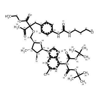 CCOC(=O)C(Cc1ccc(NC(=O)NCCCCl)cc1)(OC[C@H]1O[C@@H](n2cnc3c(N(C(=O)OC(C)(C)C)C(=O)OC(C)(C)C)nc(Cl)nc32)[C@@H](F)[C@@H]1C)C(C)=O